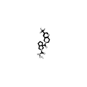 CNC(=O)N1CC2CCCC2(C(=O)N2CCc3ncc(C(F)(F)F)cc3C2)C1